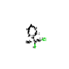 [Cl][Ru][C](Cl)([Ru])c1ccccc1